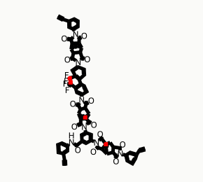 C#Cc1cccc(NC(=O)c2cc(N3C(=O)C4C5C=CC(C6C(=O)N(c7cccc(C#C)c7)C(=O)C56)C4C3=O)cc(N3C(=O)C4C5C=CC(C4C3=O)C3C(=O)N(c4ccc(-c6ccc(N7C(=O)C8C9C=CC(C%10C(=O)N(c%11cccc(C#C)c%11)C(=O)C9%10)C8C7=O)cc6C(F)(F)F)c(C(F)(F)F)c4)C(=O)C53)c2)c1